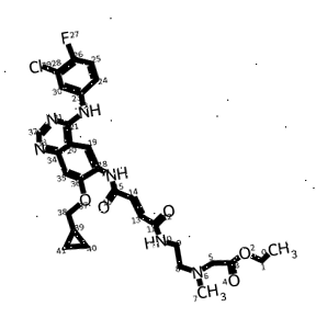 CCOC(=O)CN(C)CCNC(=O)/C=C/C(=O)Nc1cc2c(Nc3ccc(F)c(Cl)c3)ncnc2cc1OCC1CC1